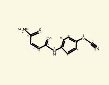 N#CSc1ccc(NC(=O)/C=C\C(N)=O)cc1